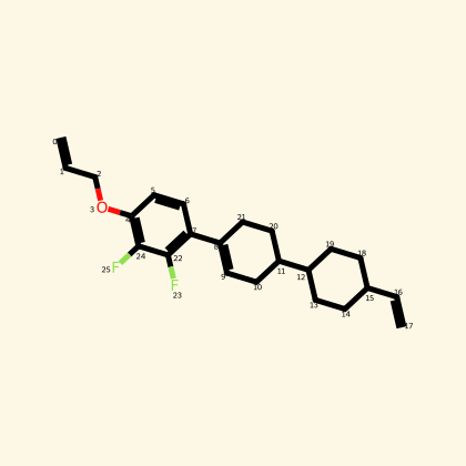 C=CCOc1ccc(C2=CCC(C3CCC(C=C)CC3)CC2)c(F)c1F